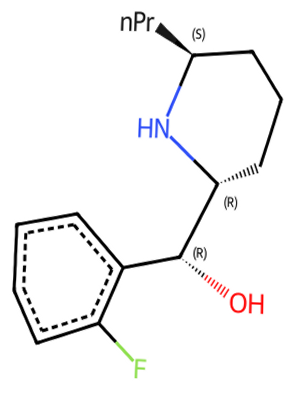 CCC[C@H]1CCC[C@H]([C@H](O)c2ccccc2F)N1